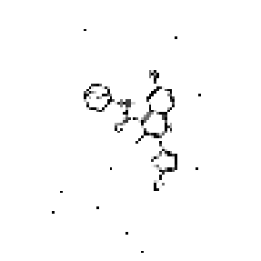 Cc1c(-c2ccc(Br)s2)nc2ccc(Br)cc2c1C(=O)NC12CCC(CC1)CC2